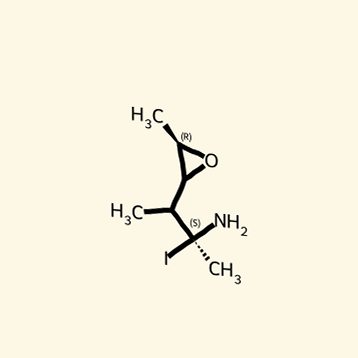 CC(C1O[C@@H]1C)[C@@](C)(N)I